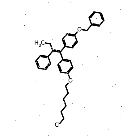 CC/C(=C(/c1ccc(OCCCCCCCl)cc1)c1ccc(OCc2ccccc2)cc1)c1ccccc1